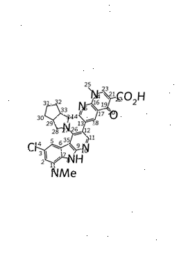 CNc1cc(Cl)cc2c1[nH]c1ncc(-c3cnc4c(c3)c(=O)c(C(=O)O)cn4C)c(N3CC4CCCC4C3)c12